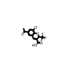 CC(=O)c1cc(Cl)c2c(c1)C=C(C(=O)O)C(C(F)(F)F)O2